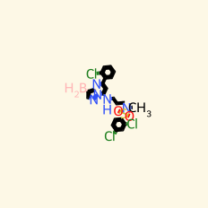 Bc1cnn2c(NCCCN(C)S(=O)(=O)c3ccc(Cl)cc3Cl)cc(-c3ccccc3Cl)nc12